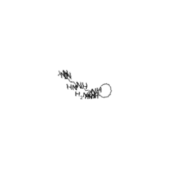 CC(C)n1cc(CCC(=N)NCCCC[C@H](NC(=N)C2CCCCCCCCCCCC2)C(=N)N)nn1